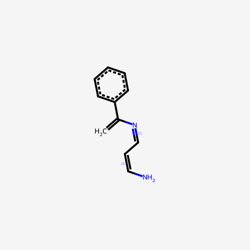 C=C(/N=C\C=C/N)c1ccccc1